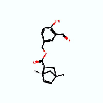 O=Cc1cc(COC(=O)C2C[C@@H]3C=C[C@H]2C3)ccc1O